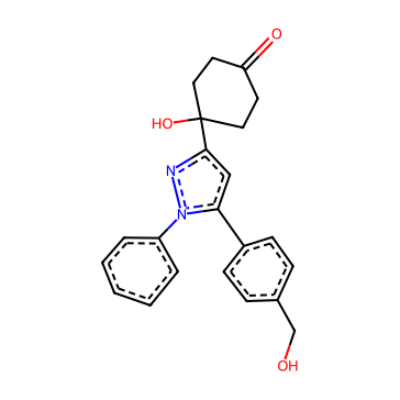 O=C1CCC(O)(c2cc(-c3ccc(CO)cc3)n(-c3ccccc3)n2)CC1